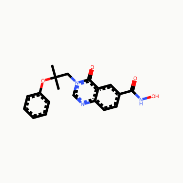 CC(C)(Cn1cnc2ccc(C(=O)NO)cc2c1=O)Oc1ccccc1